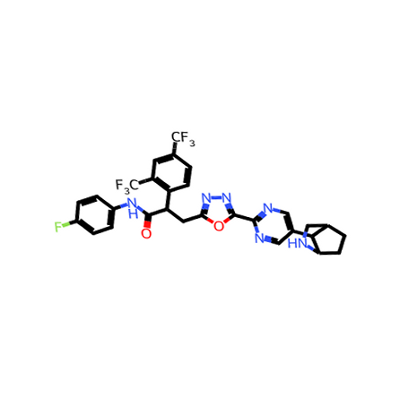 O=C(Nc1ccc(F)cc1)C(Cc1nnc(-c2ncc(C3C4CCC3NC4)cn2)o1)c1ccc(C(F)(F)F)cc1C(F)(F)F